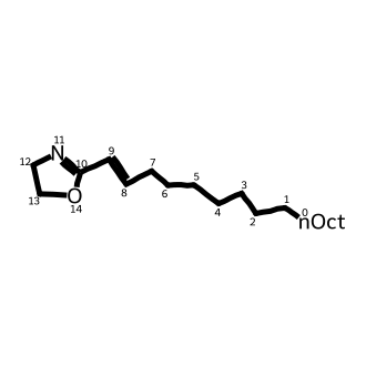 CCCCCCCCCCCCCCC/C=C/C1=NCCO1